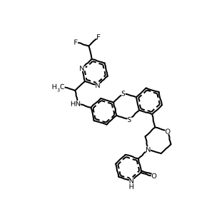 CC(Nc1ccc2c(c1)Sc1cccc(C3CN(c4ccc[nH]c4=O)CCO3)c1S2)c1nccc(C(F)F)n1